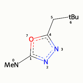 CNc1nnc(CC(C)(C)C)o1